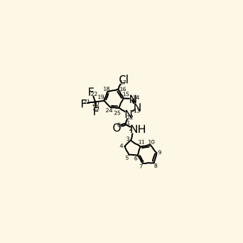 O=C(NC1CCc2ccccc21)n1nnc2c(Cl)cc(C(F)(F)F)cc21